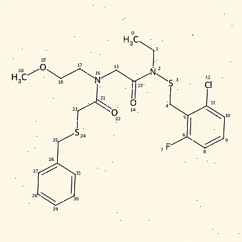 CCN(SCc1c(F)cccc1Cl)C(=O)CN(CCOC)C(=O)CSCc1ccccc1